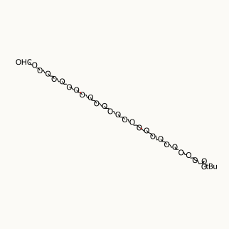 CC(C)(C)OC(=O)CCOCCOCCOCCOCCOCCOCCOCCOCCOCCOCCOCCOCCOCCOCCOCCOCCOCCOCCOCCOCCOCCOCCOCCOCC=O